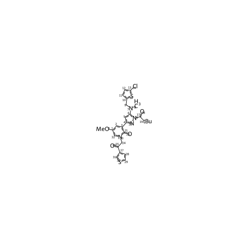 COc1cc(-c2cc(N(C)Cc3ccc(Cl)s3)n(C(=O)C(C)(C)C)n2)c(=O)n(CC(=O)c2ccsc2)c1